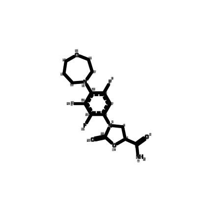 NC(=O)C1CN(c2cc(F)c(N3CCCOCC3)c(F)c2F)C(=O)O1